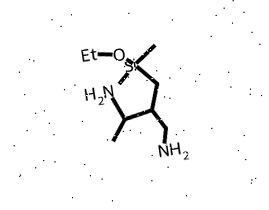 CCO[Si](C)(C)CC(CN)C(C)N